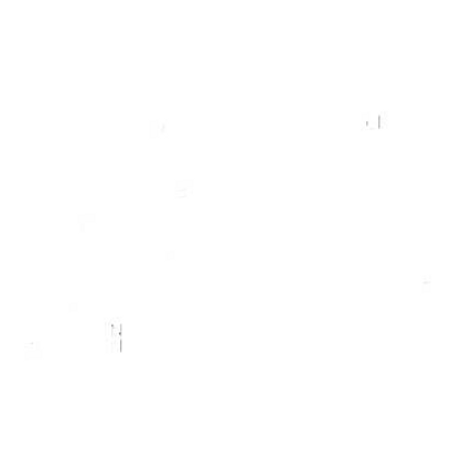 CCC1(c2ccco2)OCC(=O)Nc2ccc(-c3cc(F)cc(Cl)c3)cc21